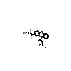 CCCNC(=S)c1ccc2c(c1)N(C(C)CN(C)CC)c1ccccc1S2